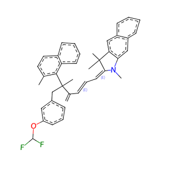 C=C(/C=C/C=C1/N(C)c2cc3ccccc3cc2C1(C)C)C(C)(Cc1cccc(OC(F)F)c1)c1c(C)ccc2ccccc12